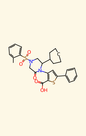 Cc1ccccc1S(=O)(=O)N1CC(=O)N(c2cc(-c3ccccc3)sc2C(=O)O)C(C2CCCCC2)C1